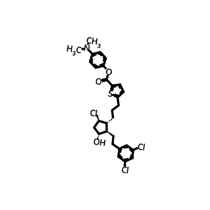 CN(C)c1ccc(OC(=O)c2ccc(CCC[C@@H]3[C@@H](CCc4cc(Cl)cc(Cl)c4)[C@H](O)C[C@H]3Cl)s2)cc1